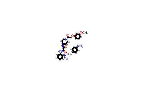 COc1cccc(OCC(=O)N2CCc3nc(C(=O)Nc4ccccc4N)sc3C2)c1.Cc1ccc(N)cc1